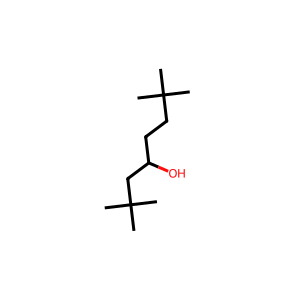 CC(C)(C)CCC(O)CC(C)(C)C